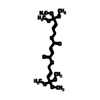 CO[Si](C=CCOC(=O)C=CC(=O)OCC=C[Si](OC)(OC)OC)(OC)OC